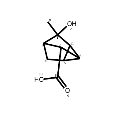 CC1(O)C2CC3C(C2C(=O)O)C31